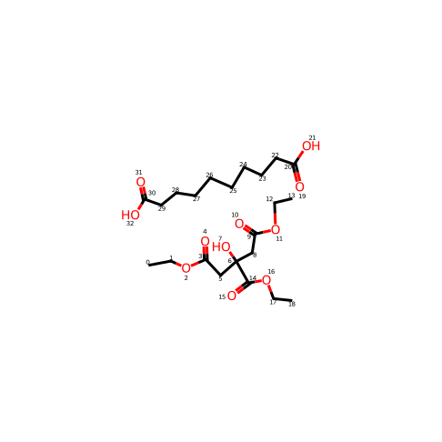 CCOC(=O)CC(O)(CC(=O)OCC)C(=O)OCC.O=C(O)CCCCCCCCC(=O)O